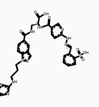 O=C(NC[C@H](NC(=O)c1ccc(N/N=C/c2ccccc2S(=O)(=O)O)nc1)C(=O)O)c1ccc2c(cnn2CCCNc2ncc[nH]2)c1